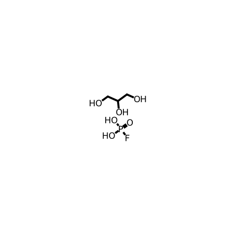 O=P(O)(O)F.OCC(O)CO